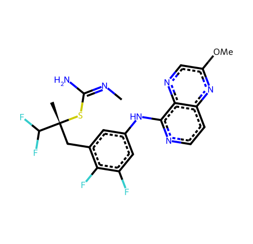 C/N=C(/N)S[C@](C)(Cc1cc(Nc2nccc3nc(OC)cnc23)cc(F)c1F)C(F)F